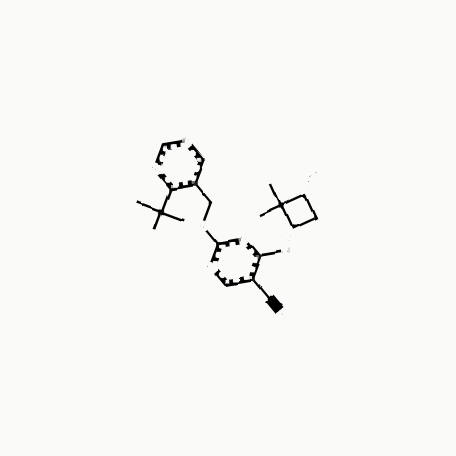 CC(C)(F)c1ncncc1CNc1ncc(C#N)c(N[C@H]2C[C@@H](O)C2(C)C)n1